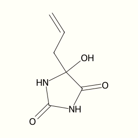 C=CCC1(O)NC(=O)NC1=O